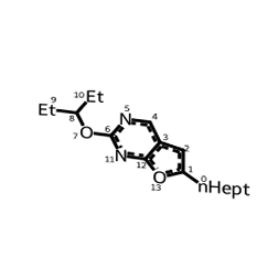 CCCCCCCc1cc2cnc(OC(CC)CC)nc2o1